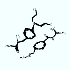 CNNCc1ccc(C(=O)NC(C)C)cc1.N[C@@H](Cc1ccc(N(CCCl)CCCl)cc1)C(=O)O